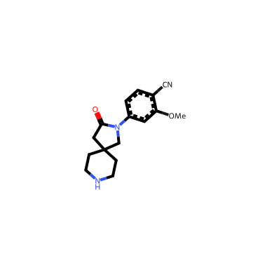 COc1cc(N2CC3(CCNCC3)CC2=O)ccc1C#N